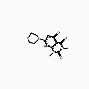 Cn1c(=O)c2c(=O)cc(N3CCOCC3)[nH]c2n(C)c1=O